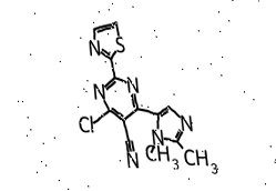 Cc1ncc(-c2nc(-c3nccs3)nc(Cl)c2C#N)n1C